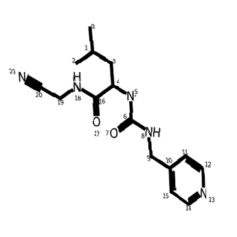 CC(C)CC([N]C(=O)NCc1ccncc1)C(=O)NCC#N